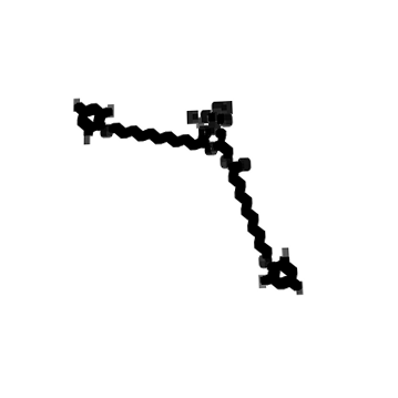 CP(=O)(O)OC[C@@H](COC(=O)CCCCCCCCCCOc1c(I)cc(I)cc1I)OC(=O)CCCCCCCCCCOc1c(I)cc(I)cc1I